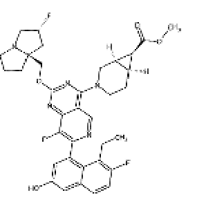 CCc1c(F)ccc2cc(O)cc(-c3ncc4c(N5CC[C@H]6[C@@H](C5)[C@H]6C(=O)OC)nc(OC[C@@]56CCCN5C[C@H](F)C6)nc4c3F)c12